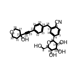 N#Cc1ccc([C@@H]2O[C@H](CO)[C@@H](O)[C@H](O)[C@H]2O)cc1Cc1ccc(C#CC2(O)CCOCC2)cc1